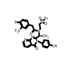 CCS(=O)(=O)CCN(C(=O)Cc1ccc(F)c(C(F)(F)F)c1)[C@@H](C)c1nc2ncccc2c(=O)n1-c1ccc(C#N)cc1